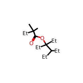 CCC(CC)C(CC)(CC)OC(=O)C(C)(C)CC